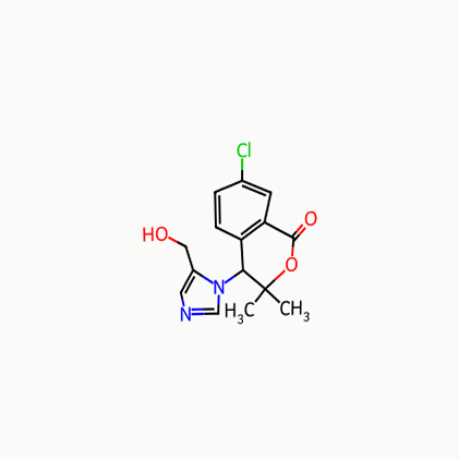 CC1(C)OC(=O)c2cc(Cl)ccc2C1n1cncc1CO